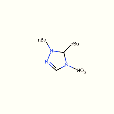 CCCCC1N(CCCC)N=CN1[N+](=O)[O-]